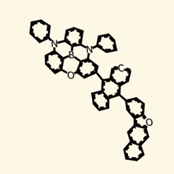 c1ccc(N2c3cccc4c3B3c5c(cc(-c6c7ccccc7c(-c7ccc8oc9cc%10ccccc%10cc9c8c7)c7ccccc67)cc5N(c5ccccc5)c5cccc2c53)O4)cc1